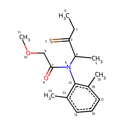 CCC(=S)C(C)N(C(=O)COC)c1c(C)cccc1C